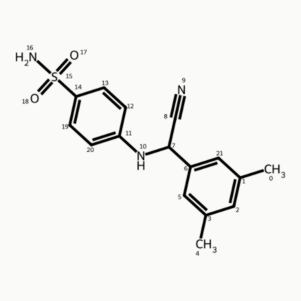 Cc1cc(C)cc(C(C#N)Nc2ccc(S(N)(=O)=O)cc2)c1